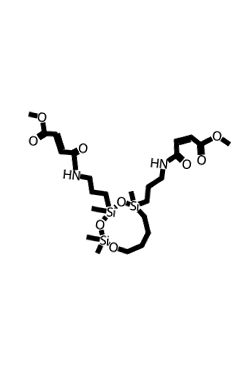 COC(=O)/C=C\C(=O)NCCC[Si]1(C)CCCCO[Si](C)(C)O[Si](C)(CCCNC(=O)/C=C/C(=O)OC)O1